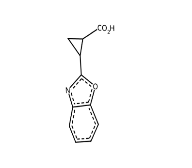 O=C(O)C1CC1c1nc2ccccc2o1